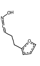 ON=C=CCCc1ccco1